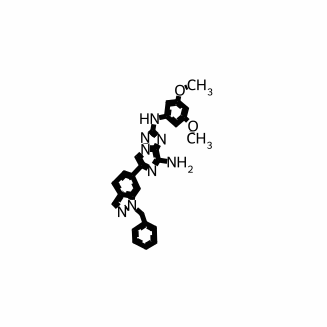 COc1cc(Nc2nc3c(N)nc(-c4ccc5cnn(Cc6ccccc6)c5c4)cn3n2)cc(OC)c1